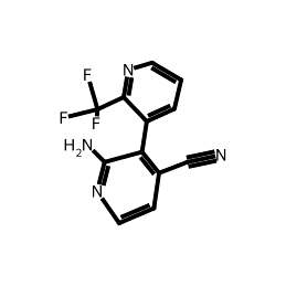 N#Cc1ccnc(N)c1-c1cccnc1C(F)(F)F